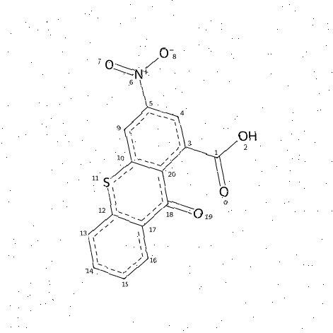 O=C(O)c1cc([N+](=O)[O-])cc2sc3ccccc3c(=O)c12